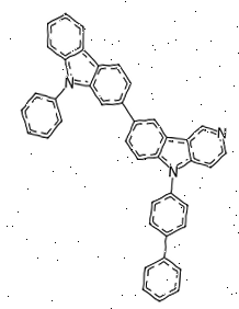 c1ccc(-c2ccc(-n3c4ccncc4c4cc(-c5ccc6c7ccccc7n(-c7ccccc7)c6c5)ccc43)cc2)cc1